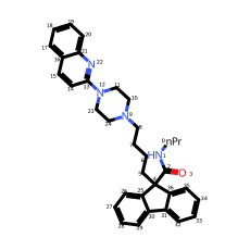 CCCNC(=O)C1(CCCCN2CCN(c3ccc4ccccc4n3)CC2)c2ccccc2-c2ccccc21